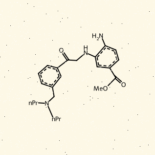 CCCN(CCC)Cc1cccc(C(=O)CNc2cc(C(=O)OC)ccc2N)c1